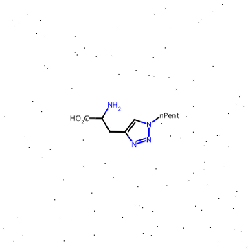 C[CH]CCCn1cc(CC(N)C(=O)O)nn1